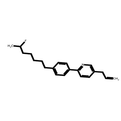 C=CCc1ccc(-c2ccc(CCCCCC(C)F)cc2)nc1